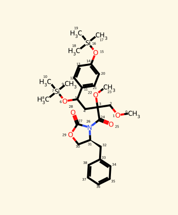 COCC(CC(O[Si](C)(C)C)c1ccc(O[Si](C)(C)C)cc1)(OC)C(=O)N1C(=O)OC[C@@H]1Cc1ccccc1